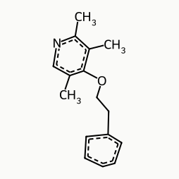 Cc1cnc(C)c(C)c1OCCc1ccccc1